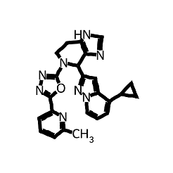 Cc1cccc(-c2nnc(N3CCc4[nH]cnc4C3c3cc4c(C5CC5)cccn4n3)o2)n1